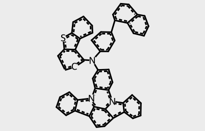 c1ccc2c(-c3ccc(N(c4ccc5c(c4)n4c6ccccc6c6ccc7c8ccccc8n5c7c64)c4cccc5sc6ccccc6c45)cc3)cccc2c1